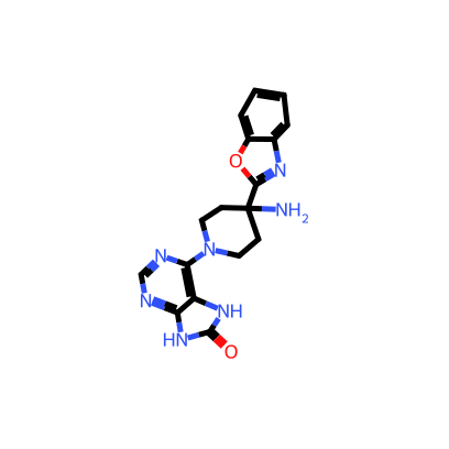 NC1(c2nc3ccccc3o2)CCN(c2ncnc3[nH]c(=O)[nH]c23)CC1